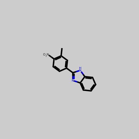 Cc1cc(-c2nc3ccccc3[nH]2)ccc1[N+](=O)[O-]